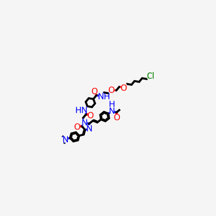 CC(=O)Nc1ccc(/C=C/C2=NC(=C/c3ccc(N(C)C)cc3)/C(=O)N2CC(=O)NC2CCC(C(=O)NCCOCCOCCCCCCCl)CC2)cc1